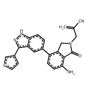 C=C(C#N)CN1Cc2c(-c3ccc4[nH]nc(-c5ccsc5)c4c3)ccc(N)c2C1=O